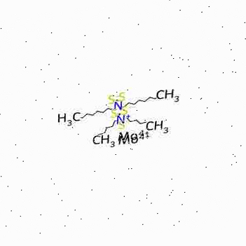 CCCCCCCCN(CCCCCCCC)C(=S)[S-].CCCCCC[N+]([S-])(CCCCCC)C(=S)[S-].[Mo+4].[Mo+4]